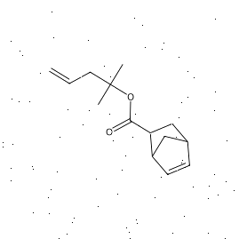 C=CCC(C)(C)OC(=O)C1CC2C=CC1C2